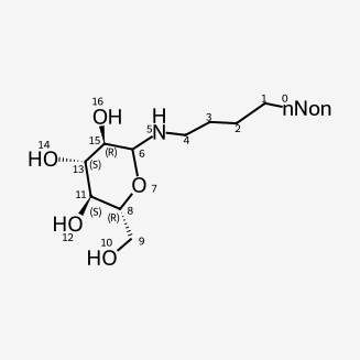 CCCCCCCCCCCCCNC1O[C@H](CO)[C@@H](O)[C@H](O)[C@H]1O